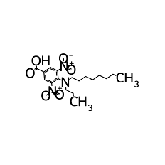 CCCCCCCCN(CCC)c1c([N+](=O)[O-])cc(C(=O)O)cc1[N+](=O)[O-]